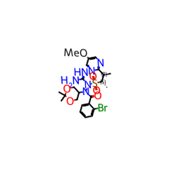 COc1cnc([C@@H](C)[C@H](C)S(=O)(=O)N(C(=N)N)N(C(=O)c2ccccc2Br)C2COC(C)(C)OC2)nc1